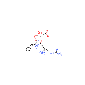 N=C(N)NCCC[C@H](N)C(=O)N[C@@H](Cc1ccccc1)C(=O)N[C@@H](CCC(=O)O)C(=O)O